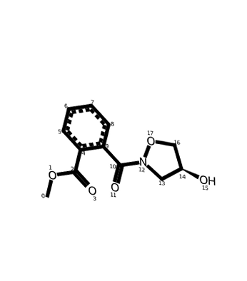 COC(=O)c1ccccc1C(=O)N1C[C@H](O)CO1